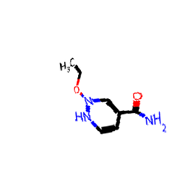 CCON1C=C(C(N)=O)C=CN1